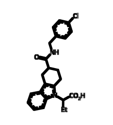 CCC(C(=O)O)n1c2c(c3ccccc31)CC(C(=O)NCc1ccc(Cl)cc1)CC2